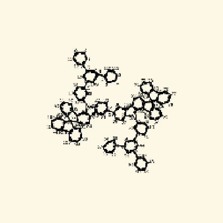 c1ccc(-c2cc(-c3ccccc3)cc(-c3cccc(-n4c5ccc(-c6ccc7c(c6)c6ccc8c(c6n7-c6cccc(-c7cc(-c9ccccc9)cc(-c9ccccc9)c7)c6)-c6ccccc6C86c7ccccc7-c7ccccc76)cc5c5ccc6c(c54)-c4ccccc4C64c5ccccc5-c5ccccc54)c3)c2)cc1